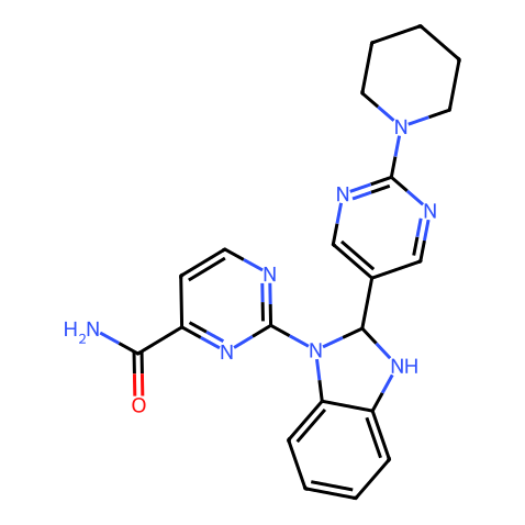 NC(=O)c1ccnc(N2c3ccccc3NC2c2cnc(N3CCCCC3)nc2)n1